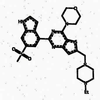 CCN1CCN(Cc2cc3nc(-c4cc(S(C)(=O)=O)cc5[nH]ccc45)nc(N4CCOCC4)c3s2)CC1